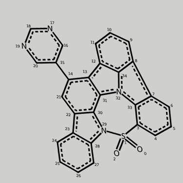 O=S1(=O)c2cccc3c4cccc5c6c(-c7cncnc7)cc7c8ccccc8n1c7c6n(c23)c45